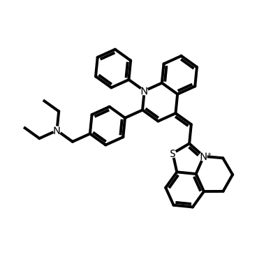 CCN(CC)Cc1ccc(C2=C/C(=C\c3sc4cccc5c4[n+]3CCC5)c3ccccc3N2c2ccccc2)cc1